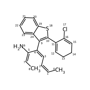 C\C=C/C=C(\C(N)=C/C)c1c(C2=CCCC=C2Cl)sc2ccccc12